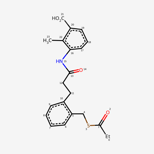 CCC(=O)SCc1ccccc1CCC(=O)Nc1cccc(C(=O)O)c1C